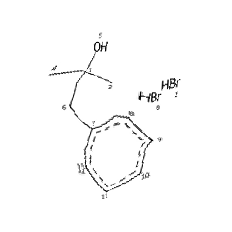 Br.Br.CC(C)(O)Cc1ccccc1